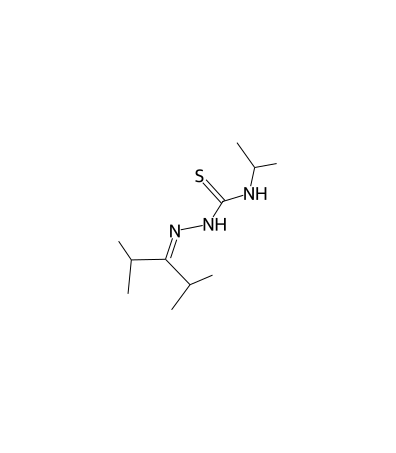 CC(C)NC(=S)NN=C(C(C)C)C(C)C